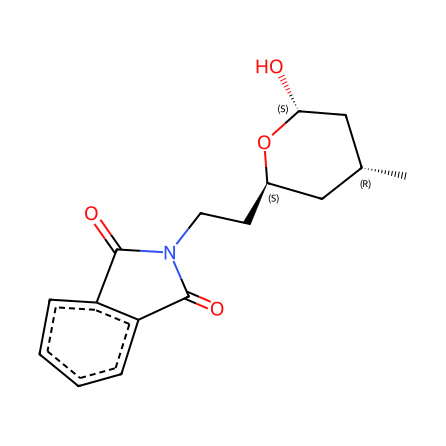 C[C@@H]1C[C@@H](CCN2C(=O)c3ccccc3C2=O)O[C@H](O)C1